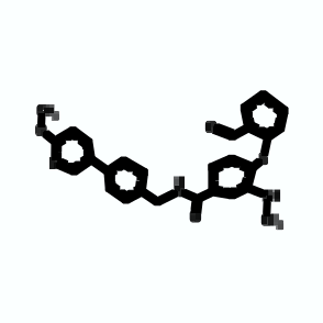 CNc1cc(C(=O)NCc2ccc(-c3ccc(OC)nc3)cc2)ccc1Sc1ccccc1C=O